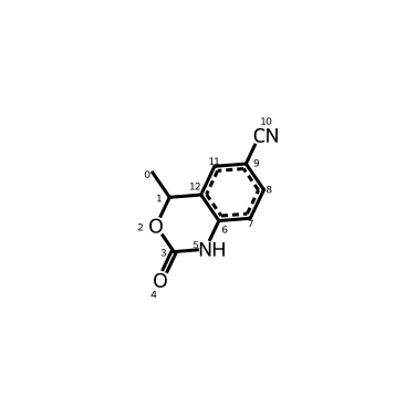 CC1OC(=O)Nc2ccc(C#N)cc21